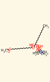 C=CC(=O)OCCCCCCCCCCCCCCCC(=O)O[C@@H](COP(=O)(O)OC(C[N+](C)(C)C)C(=O)C=C)C(O)C(=O)CCCCCCCCCCCCCCC